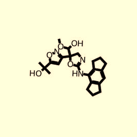 COC(O)C1(c2cc(C(C)(C)O)on2)CN=C(Nc2c3c(cc4c2CCC4)CCC3)O1